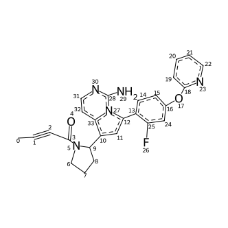 CC#CC(=O)N1CCCC1c1cc(-c2ccc(Oc3ccccn3)cc2F)n2c(N)nccc12